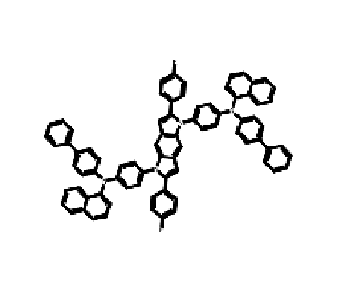 Fc1ccc(-c2cc3cc4c(cc(-c5ccc(F)cc5)n4-c4ccc(N(c5ccc(-c6ccccc6)cc5)c5cccc6ccccc56)cc4)cc3n2-c2ccc(N(c3ccc(-c4ccccc4)cc3)c3cccc4ccccc34)cc2)cc1